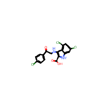 O=C(CNc1c(C(=O)O)[nH]c2cc(Cl)cc(Cl)c12)c1ccc(Cl)cc1